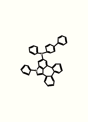 c1ccc(-c2ccc(N(c3ccccc3)c3cc4c5c(cn(-c6ccccc6)c5c3)-c3ccccc3-c3ccccc3-4)cc2)cc1